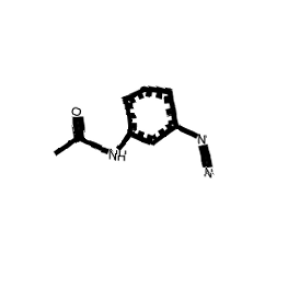 CC(=O)Nc1cccc(N=[N])c1